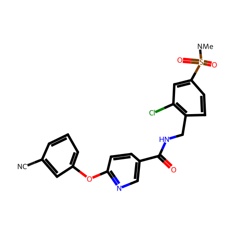 CNS(=O)(=O)c1ccc(CNC(=O)c2ccc(Oc3cccc(C#N)c3)nc2)c(Cl)c1